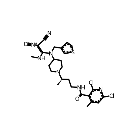 [C-]#[N+]/C(C#N)=C(\NC)N(Cc1ccsc1)C1CCN([C@H](C)CCNC(=O)c2c(C)cc(Cl)nc2Cl)CC1